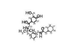 CC(C)(Cc1cccc(CNC(=O)CC2CCCCC2)c1)NC[C@H](O)c1ccc(O)c(CO)c1